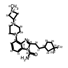 CN1CC(N2CCN(c3cccc4c3nc(CCC3CCC(F)(F)C3)n4C(N)=O)CC2)C1